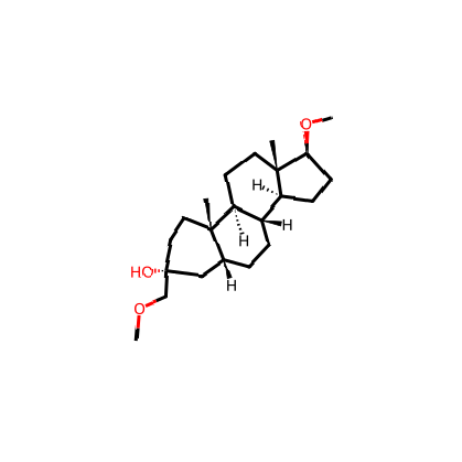 COC[C@@]1(O)CC[C@@]2(C)[C@H](CC[C@@H]3[C@@H]2CC[C@]2(C)[C@@H](OC)CC[C@@H]32)C1